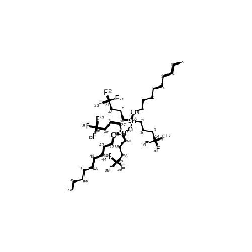 CCCCCCCCC[O][Sn]([CH2]CCC(F)(F)F)([CH2]CCC(F)(F)F)[O][Sn]([CH2]CCC(F)(F)F)([CH2]CCC(F)(F)F)[O]CCCCCCCCC